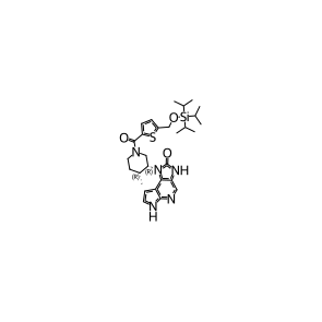 CC(C)[Si](OCc1ccc(C(=O)N2CC[C@@H](C)[C@@H](n3c(=O)[nH]c4cnc5[nH]ccc5c43)C2)s1)(C(C)C)C(C)C